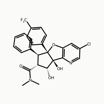 CN(C)C(=O)[C@H]1[C@@H](O)[C@@]2(O)c3ncc(Cl)cc3O[C@@]2(c2ccc(C(F)(F)F)cc2)[C@@H]1c1ccccc1